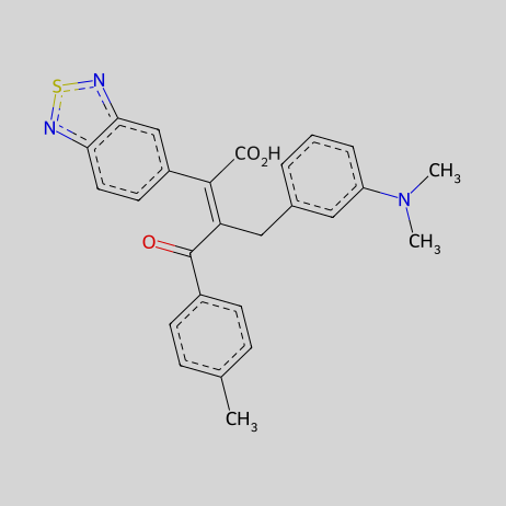 Cc1ccc(C(=O)/C(Cc2cccc(N(C)C)c2)=C(/C(=O)O)c2ccc3nsnc3c2)cc1